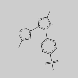 Cc1cc(-c2nc(C(F)(F)F)cn2-c2ccc(S(C)(=O)=O)cc2)no1